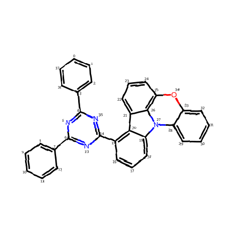 c1ccc(-c2nc(-c3ccccc3)nc(-c3cccc4c3c3cccc5c3n4-c3ccccc3O5)n2)cc1